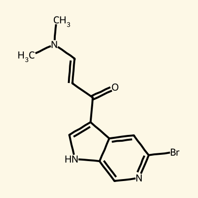 CN(C)/C=C/C(=O)c1c[nH]c2cnc(Br)cc12